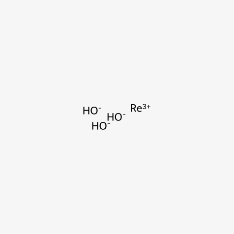 [OH-].[OH-].[OH-].[Re+3]